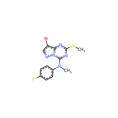 CSc1nc(N(C)c2ccc(F)cc2)n2ncc(Br)c2n1